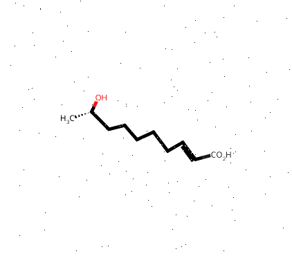 C[C@H](O)CCCCCC=CC(=O)O